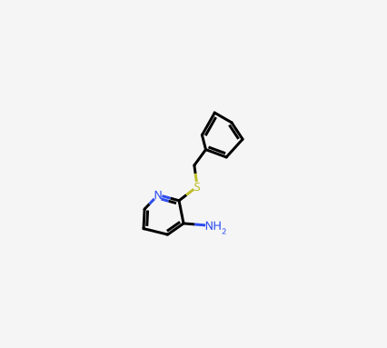 Nc1cccnc1SCc1ccccc1